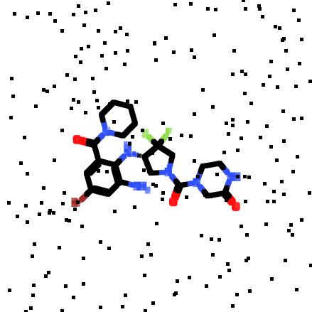 Nc1cc(Br)cc(C(=O)N2CCCCC2)c1N[C@H]1CN(C(=O)N2CCNC(=O)C2)CC1(F)F